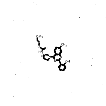 COCCOC(=O)N[C@H]1CCN(c2nc(-c3ccccc3O)nc3cc(C)ccc23)C1